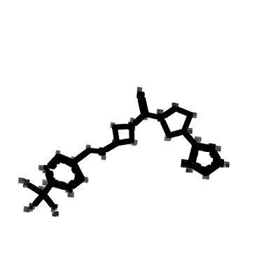 O=C(N1CC(OCc2cnc(C(F)(F)F)nc2)C1)N1CCC(c2nnc[nH]2)C1